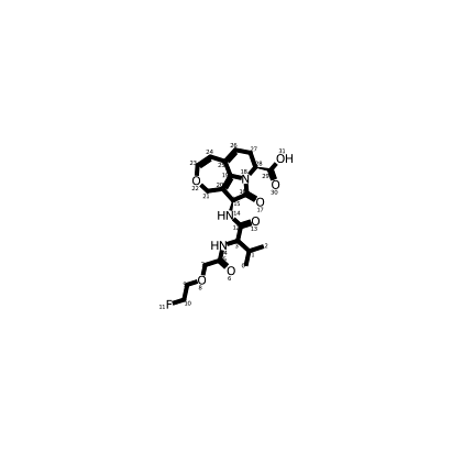 CC(C)C(NC(=O)COCCF)C(=O)N[C@@H]1C(=O)N2C3=C1COC=CC3=CC[C@H]2C(=O)O